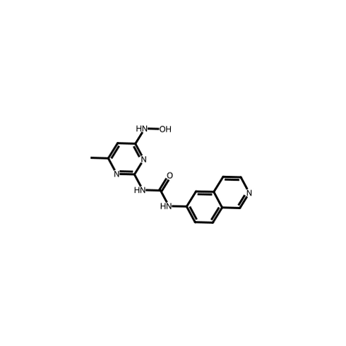 Cc1cc(NO)nc(NC(=O)Nc2ccc3cnccc3c2)n1